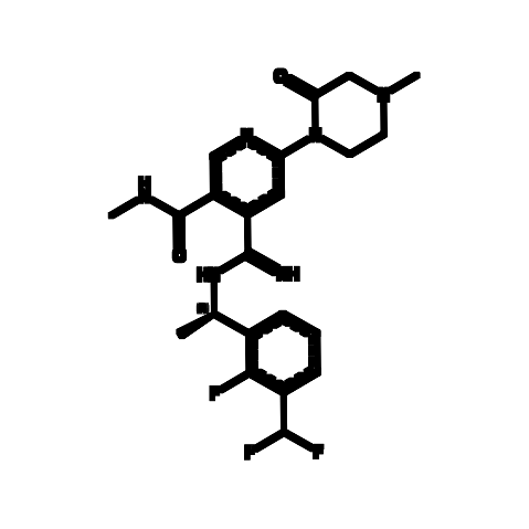 CNC(=O)c1cnc(N2CCN(C)CC2=O)cc1C(=N)N[C@H](C)c1cccc(C(F)F)c1F